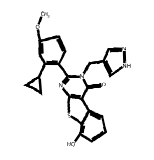 COc1ccc(-c2nc3sc4c(O)cccc4c3c(=O)n2Cc2cn[nH]c2)c(C2CC2)c1